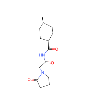 C[C@H]1CC[C@@H](C(=O)NC(=O)CN2CCCC2=O)CC1